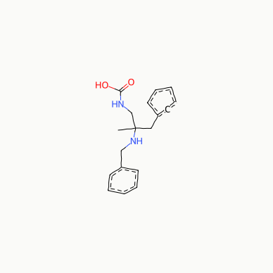 CC(CNC(=O)O)(Cc1ccccc1)NCc1ccccc1